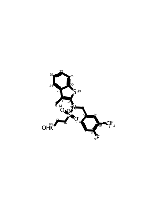 Cc1c(N(Cc2ccc(F)c(C(F)(F)F)c2)S(=O)(=O)CCC=O)sc2ccccc12